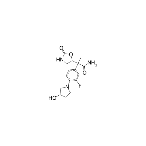 CC(C(N)=O)(c1ccc(N2CCC(O)C2)c(F)c1)C1CNC(=O)O1